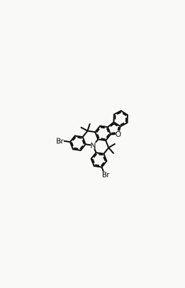 CC1(C)c2cc(Br)ccc2N2c3ccc(Br)cc3C(C)(C)c3c2c1cc1c3oc2ccccc21